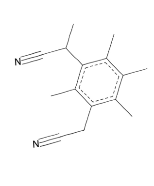 Cc1c(C)c(CC#N)c(C)c(C(C)C#N)c1C